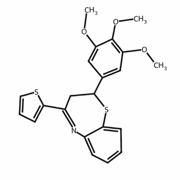 COc1cc(C2CC(c3cccs3)=Nc3ccccc3S2)cc(OC)c1OC